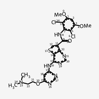 COc1cc(OC)c(Cl)c(NC(=O)c2csc3c(Nc4cc(OCCN(C)C)ncn4)ncnc23)c1Cl